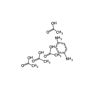 CC(=O)O.CC(=O)O.CC(=O)O.CC(=O)O.Nc1ccc(N)cc1